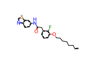 C=CCCCCCCOc1cccc(CC(=O)Nc2ccc3ncsc3c2)c1F